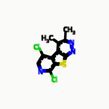 Cc1nnc2sc3c(Cl)ncc(Cl)c3c2c1C